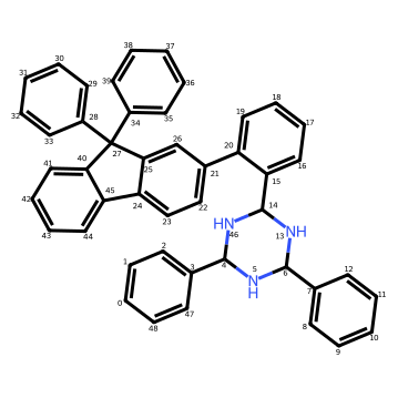 c1ccc(C2NC(c3ccccc3)NC(c3ccccc3-c3ccc4c(c3)C(c3ccccc3)(c3ccccc3)c3ccccc3-4)N2)cc1